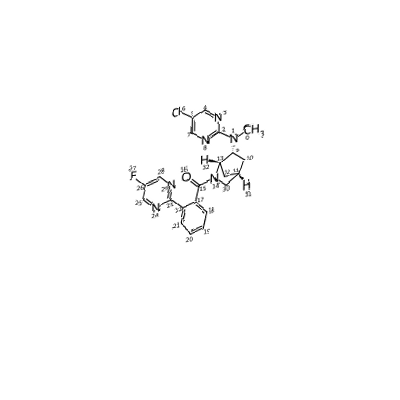 CN(c1ncc(Cl)cn1)[C@@H]1C[C@H]2C[C@@H]1N(C(=O)c1ccccc1-c1ncc(F)cn1)C2